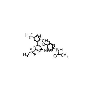 COc1cnc(NC(C)=O)cc1Nc1cc(-c2cncc(C)c2)nc(C(C)(F)F)n1